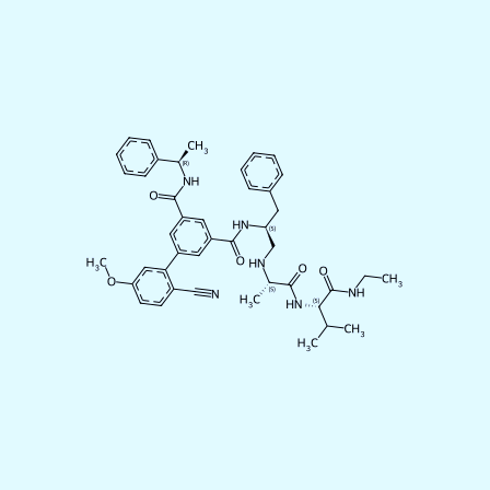 CCNC(=O)[C@@H](NC(=O)[C@H](C)NC[C@H](Cc1ccccc1)NC(=O)c1cc(C(=O)N[C@H](C)c2ccccc2)cc(-c2cc(OC)ccc2C#N)c1)C(C)C